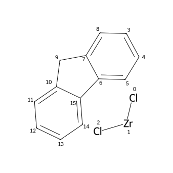 [Cl][Zr][Cl].c1ccc2c(c1)Cc1ccccc1-2